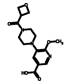 COc1ncc(C(=O)O)cc1N1CCN(C(=O)C2COC2)CC1